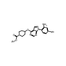 CC(C)OC(=O)N1CCC(Oc2ncnc3c2cnn3-c2ccc(C(C)C)cc2N)CC1